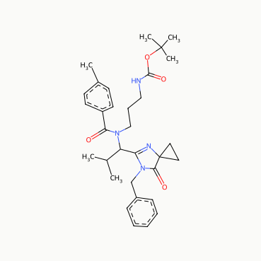 Cc1ccc(C(=O)N(CCCNC(=O)OC(C)(C)C)C(C2=NC3(CC3)C(=O)N2Cc2ccccc2)C(C)C)cc1